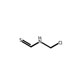 S=CNCCl